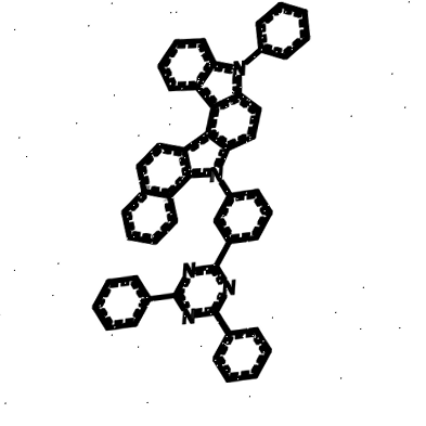 c1ccc(-c2nc(-c3ccccc3)nc(-c3cccc(-n4c5ccc6c(c7ccccc7n6-c6ccccc6)c5c5ccc6ccccc6c54)c3)n2)cc1